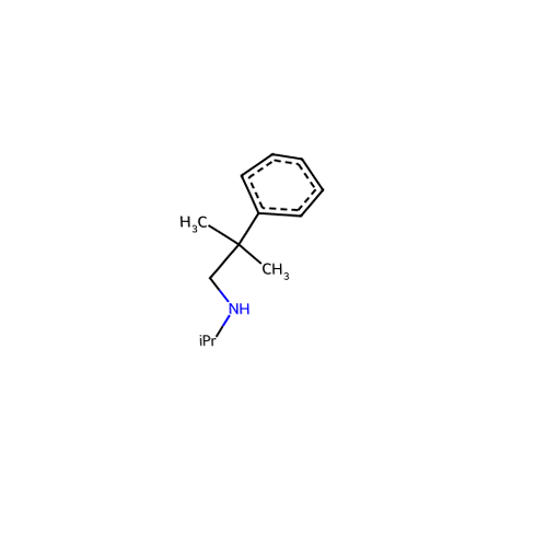 CC(C)NCC(C)(C)c1ccccc1